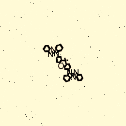 CC1(C)c2ccc(-n3c4ccccc4n4c5ccccc5nc34)cc2Oc2ccc(-n3c4ccccc4n4c5ccccc5nc34)cc21